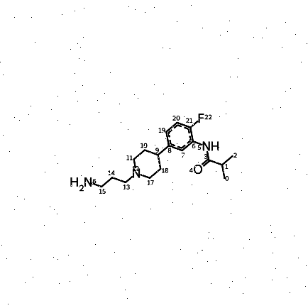 CC(C)C(=O)Nc1cc(C2CCN(CCCN)CC2)ccc1F